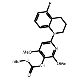 CCCCOC(=O)Nc1c(OC)cc(N2CCCc3c(F)cccc32)nc1OC